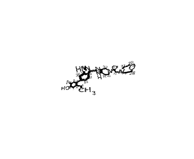 CCc1cc(O)c(F)cc1-c1ccc2c(-c3nc4c([nH]3)CCN(C(=O)CN3CCOCC3)C4)n[nH]c2c1